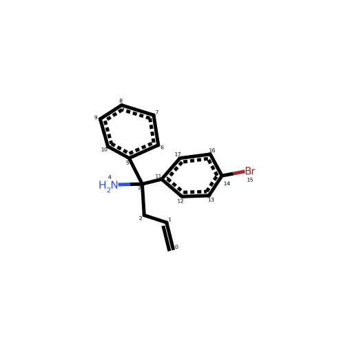 C=CCC(N)(c1ccccc1)c1ccc(Br)cc1